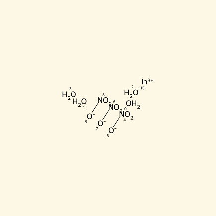 O.O.O.O.O=[N+]([O-])[O-].O=[N+]([O-])[O-].O=[N+]([O-])[O-].[In+3]